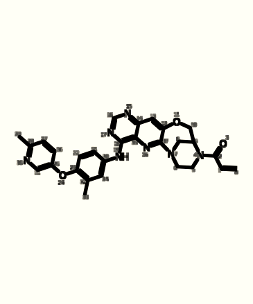 C=CC(=O)N1CCN2CC1COc1cc3ncnc(Nc4ccc(Oc5ccc(C)nc5)c(C)c4)c3nc12